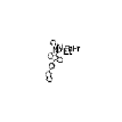 CCC/C=C\C(CC)c1cc(-c2c3ccccc3c(-c3ccc(-c4ccc5ccccc5c4)cc3)c3ccccc23)nc(C2=CCCC=C2)n1